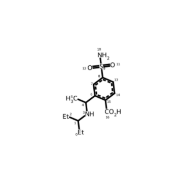 CCC(CC)NC(C)c1cc(S(N)(=O)=O)ccc1C(=O)O